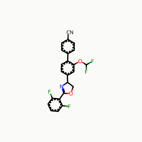 N#Cc1ccc(-c2ccc(C3COC(c4c(F)cccc4F)=N3)cc2OC(F)F)cc1